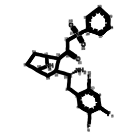 N[C@H](Cc1cc(F)c(F)cc1F)C1CC2CCC(N2)C1C(=O)CS(=O)(=O)c1ccccc1